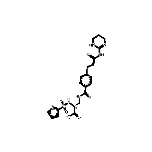 O=C(CCc1ccc(C(=O)NC[C@H](NS(=O)(=O)c2cccs2)C(=O)O)cc1)NC1=NCCCN1